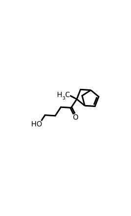 CC1(C(=O)CCCO)CC2C=CC1C2